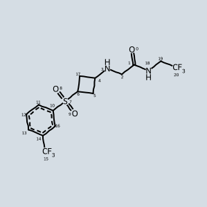 O=C(CNC1CC(S(=O)(=O)c2cccc(C(F)(F)F)c2)C1)NCC(F)(F)F